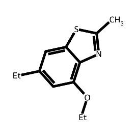 CCOc1cc(CC)cc2sc(C)nc12